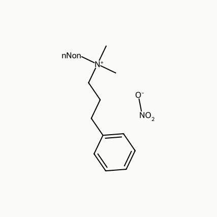 CCCCCCCCC[N+](C)(C)CCCc1ccccc1.O=[N+]([O-])[O-]